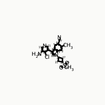 Cc1cc2c(cc1C#N)c(-c1cncc(N)c1Cl)cn2[C@H]1C[C@@H](S(C)(=O)=O)C1